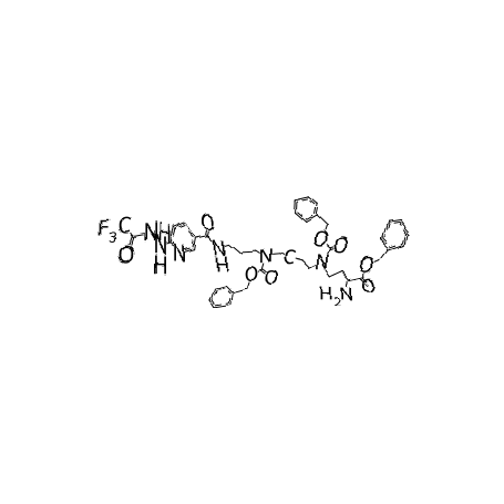 NC(CCN(CCCCN(CCCNC(=O)c1ccc(NNC(=O)C(F)(F)F)nc1)C(=O)OCc1ccccc1)C(=O)OCc1ccccc1)C(=O)OCc1ccccc1